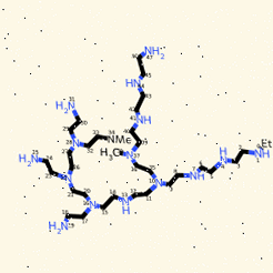 CCNCCNCCNCCN(CCNCCN(CCN)CCN(CCN)CCN(CCN)CCNC)CCN(C)CCNCCNCCN